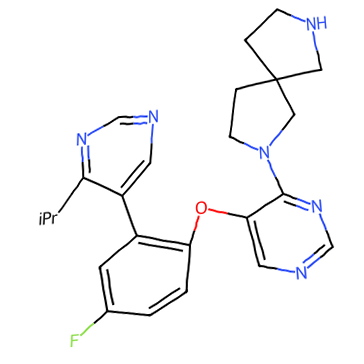 CC(C)c1ncncc1-c1cc(F)ccc1Oc1cncnc1N1CCC2(CCNC2)C1